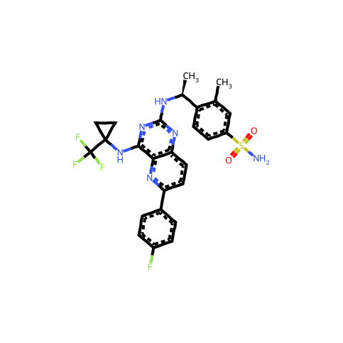 Cc1cc(S(N)(=O)=O)ccc1[C@H](C)Nc1nc(NC2(C(F)(F)F)CC2)c2nc(-c3ccc(F)cc3)ccc2n1